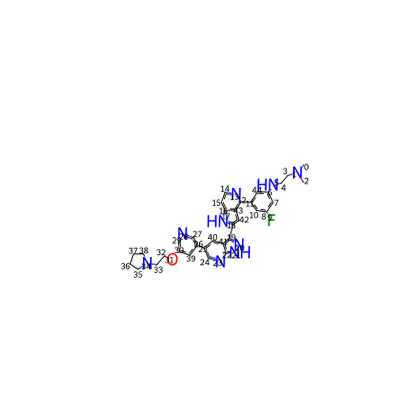 CN(C)CCNc1cc(F)cc(-c2nccc3[nH]c(-c4n[nH]c5ncc(-c6cncc(OCCN7CCCC7)c6)cc45)cc23)c1